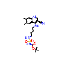 Cc1cc2ncc(C#N)c(NCCCCNS(=O)(=O)NC(=O)OC(C)(C)C)c2cc1C